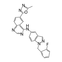 Cc1nnc(-c2ccc3ncnc(Nc4ccc5c(cnn5Cc5ccccc5F)c4)c3c2)o1